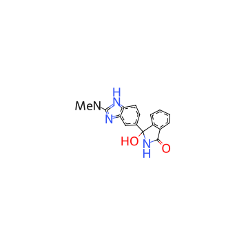 CNc1nc2cc(C3(O)NC(=O)c4ccccc43)ccc2[nH]1